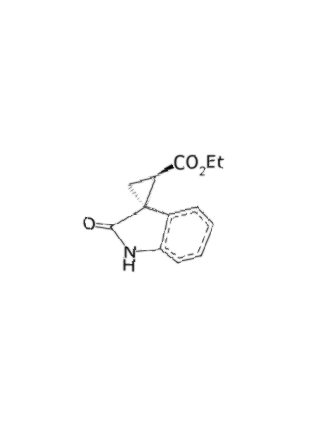 CCOC(=O)[C@@H]1C[C@]12C(=O)Nc1ccccc12